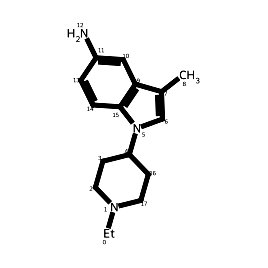 CCN1CCC(n2cc(C)c3cc(N)ccc32)CC1